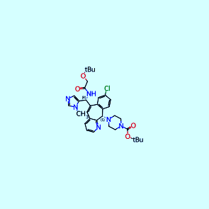 Cn1cncc1[C@H](NC(=O)COC(C)(C)C)C1=Cc2cccnc2[C@@H](N2CCN(C(=O)OC(C)(C)C)CC2)c2ccc(Cl)cc21